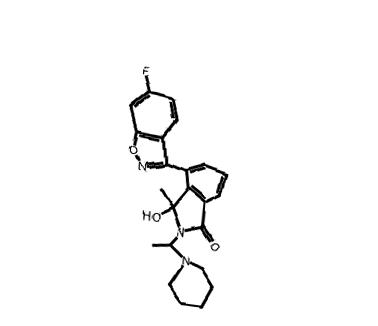 CC(N1CCCCC1)N1C(=O)c2cccc(-c3noc4cc(F)ccc34)c2C1(C)O